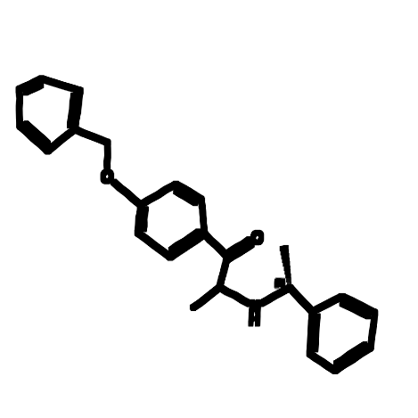 CC(N[C@H](C)c1ccccc1)C(=O)c1ccc(OCc2ccccc2)cc1